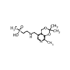 Cc1ncc(CNCCP(C)(=O)O)c2c1OC(C)(C)OC2